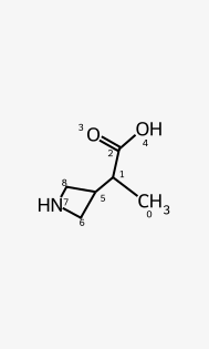 CC(C(=O)O)C1CNC1